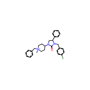 C[N+]1(Cc2ccccc2)CCC(N2CC(c3ccccc3)N(Cc3ccc(F)cc3)C2=O)CC1